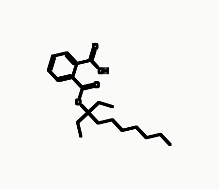 CCCCCCCC(CC)(CC)OC(=O)c1ccccc1C(=O)O